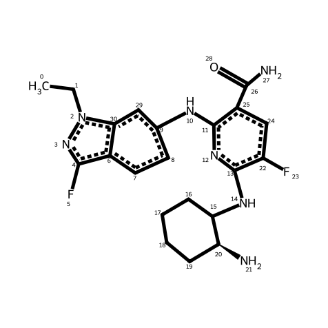 CCn1nc(F)c2ccc(Nc3nc(NC4CCCC[C@@H]4N)c(F)cc3C(N)=O)cc21